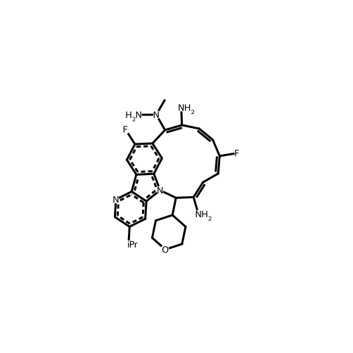 CC(C)c1cnc2c3cc(F)c4cc3n(c2c1)C(C1CCOCC1)/C(N)=C/C=C(F)\C=C/C(N)=C\4N(C)N